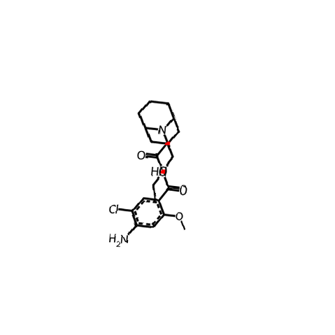 CCOC(=O)CN1C2CCCC1CC(CNC(=O)c1cc(Cl)c(N)cc1OC)C2